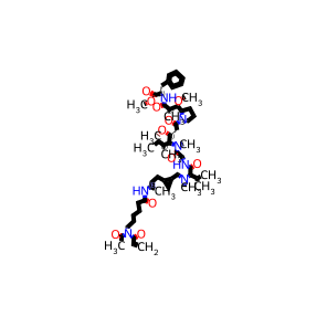 C=CC(=O)N(CCCCCC(=O)N/C(C)=C/CC1CC1CN(C)C(C(=O)NCC(=O)N(C)C([C@@H](C)CC)[C@@H](CC(=O)N1CCCC1C(OC)[C@@H](C)C(=O)N[C@@H](Cc1ccccc1)C(=O)OC)OC)C(C)C)C(C)=O